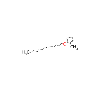 CCCCCCCCCCCC=COc1ccccc1C